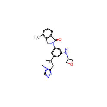 C[C@H](Cc1nncn1C)c1cc(NC2COC2)cc(N2Cc3c(cccc3C(F)(F)F)C2=O)c1